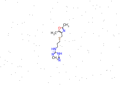 C/N=C(\NC#N)NCCCSCc1nc(C)oc1C